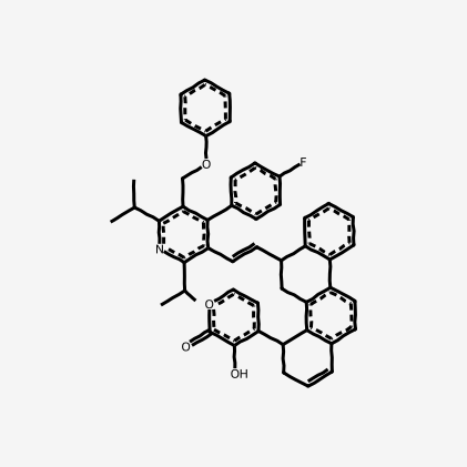 CC(C)c1nc(C(C)C)c(COc2ccccc2)c(-c2ccc(F)cc2)c1C=CC1Cc2c(ccc3c2C(c2ccoc(=O)c2O)CC=C3)-c2ccccc21